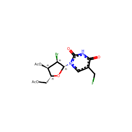 CC(=O)OC[C@H]1O[C@@H](n2cc(CF)c(=O)[nH]c2=O)[C@H](Br)[C@@H]1OC(C)=O